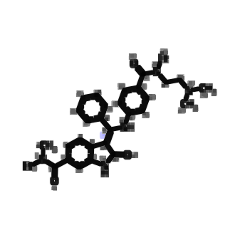 CCN(C)C(=O)c1ccc2c(c1)NC(=O)/C2=C(\Nc1ccc(C(=O)N(CC)CCN(C)C)cc1)c1ccccc1